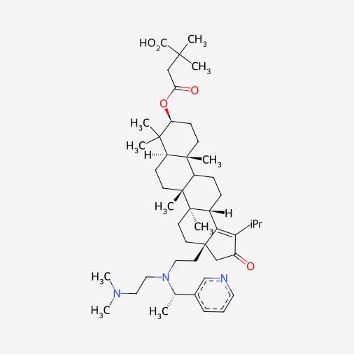 CC(C)C1=C2[C@H]3CCC4[C@@]5(C)CC[C@H](OC(=O)CC(C)(C)C(=O)O)C(C)(C)[C@@H]5CC[C@@]4(C)[C@]3(C)CC[C@@]2(CCN(CCN(C)C)[C@@H](C)c2cccnc2)CC1=O